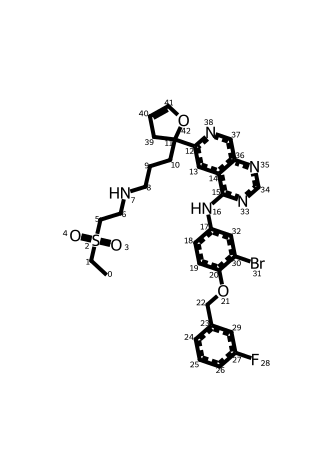 CCS(=O)(=O)CCNCCCC1(c2cc3c(Nc4ccc(OCc5cccc(F)c5)c(Br)c4)ncnc3cn2)CC=CO1